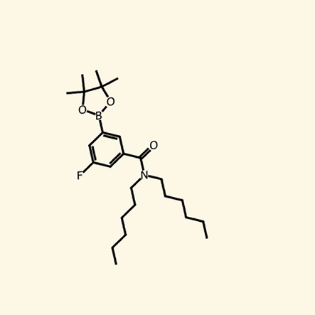 CCCCCCN(CCCCCC)C(=O)c1cc(F)cc(B2OC(C)(C)C(C)(C)O2)c1